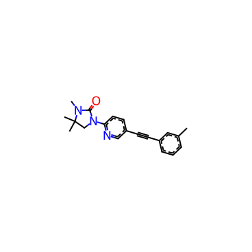 Cc1cccc(C#Cc2ccc(N3CC(C)(C)N(C)C3=O)nc2)c1